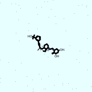 C=C1/C(=C\C=C2/CCC[C@]3(C)[C@@H]([C@@H](C)C#Cc4cccc(C(C)(C)O)c4)CC[C@@H]23)C[C@@H](O)C[C@@H]1O